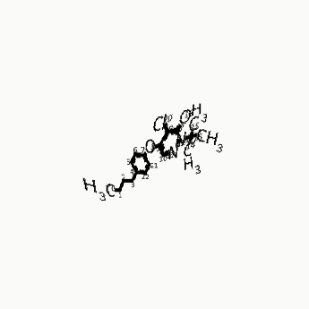 CCCCc1ccc(Oc2cnn(C(C)(C)C)c(=O)c2Cl)cc1